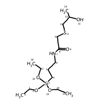 CCO[Si](CCCNC(=O)CSCC(C)O)(OCC)OCC